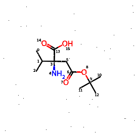 CC(C)[C@@](N)(CC(=O)OC(C)(C)C)C(=O)O